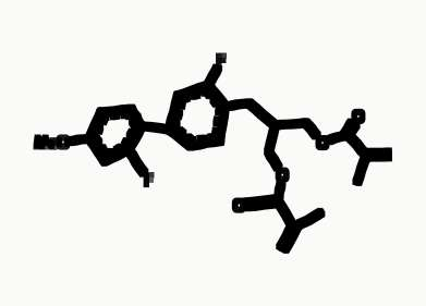 C=C(C)C(=O)OCC(COC(=O)C(=C)C)Cc1ccc(-c2ccc(OC)cc2F)cc1F